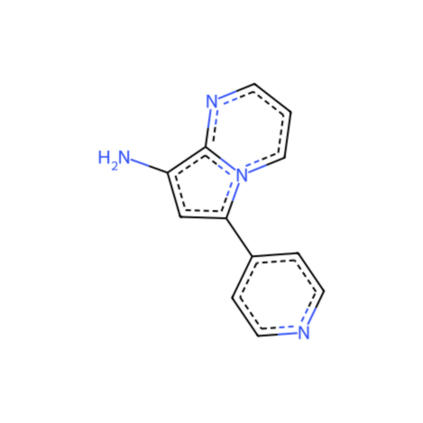 Nc1cc(-c2ccncc2)n2cccnc12